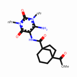 CCCn1c(N)c(NC(=O)C23CCCC(C(=O)OC)(CC2)C3)c(=O)n(CCC)c1=O